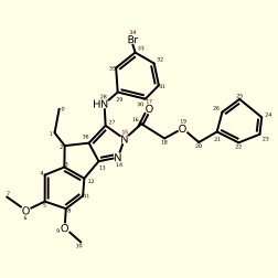 CCC1c2cc(OC)c(OC)cc2-c2nn(C(=O)COCc3ccccc3)c(Nc3cccc(Br)c3)c21